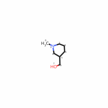 CN1C[CH]CC(CO)C1